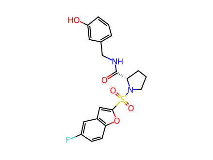 O=C(NCc1cccc(O)c1)[C@@H]1CCCN1S(=O)(=O)c1cc2cc(F)ccc2o1